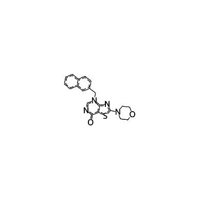 O=c1ncn(Cc2ccc3ccccc3c2)c2nc(N3CCOCC3)sc12